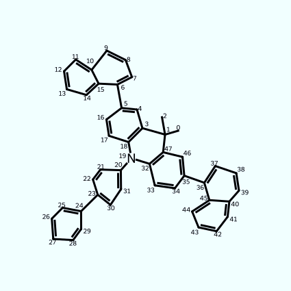 CC1(C)c2cc(-c3cccc4ccccc34)ccc2N(c2ccc(-c3ccccc3)cc2)c2ccc(-c3cccc4ccccc34)cc21